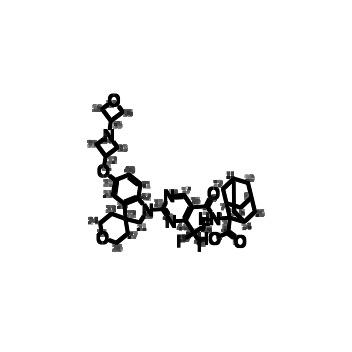 O=C(NC1(C(=O)O)C2CC3CC(C2)CC1C3)c1cnc(N2CC3(CCOCC3)c3cc(OC4CN(C5COC5)C4)ccc32)nc1C(F)(F)F